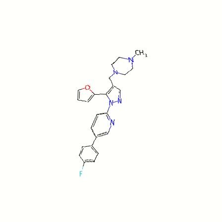 CN1CCN(Cc2cnn(-c3ccc(-c4ccc(F)cc4)cn3)c2-c2ccco2)CC1